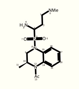 CNCCC(N)S(=O)(=O)N1C[C@H](C)N(C(C)=O)c2ccccc21